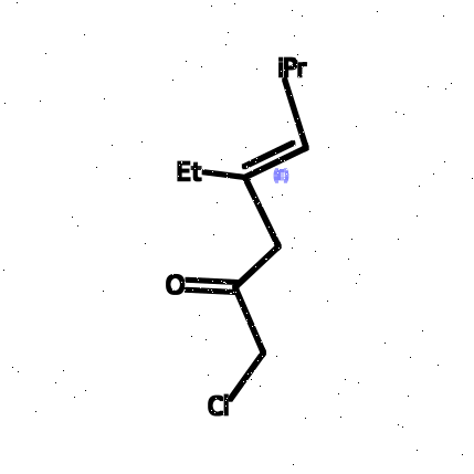 CC/C(=C\C(C)C)CC(=O)CCl